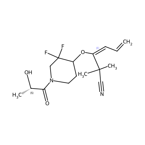 C=C/C=C(/OC1CCN(C(=O)[C@H](C)O)CC1(F)F)C(C)(C)C#N